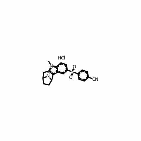 Cl.Cn1c2c(c3cc(S(=O)(=O)c4ccc(C#N)cc4)ccc31)C1CCC(C2)N1